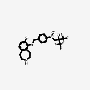 CC(C[S+]([O-])c1ccc(CSc2c(Cl)ccc3c2CCNCC3)cc1)(C(F)(F)F)C(F)(F)F